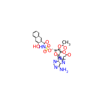 CC(=O)O[C@@H]1[C@H](OC(C)=O)[C@@H](COS(=O)(=O)NC(=O)c2cc3ccccc3cc2O)O[C@H]1n1cnc2c(N)ncnc21